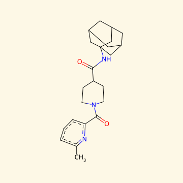 Cc1cccc(C(=O)N2CCC(C(=O)NC34CC5CC(CC(C5)C3)C4)CC2)n1